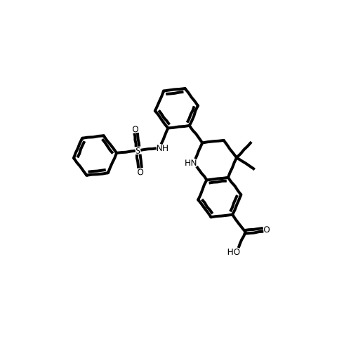 CC1(C)CC(c2ccccc2NS(=O)(=O)c2ccccc2)Nc2ccc(C(=O)O)cc21